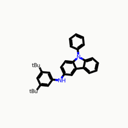 CC(C)(C)c1cc(Nc2ccc3c(c2)c2ccccc2n3-c2ccccc2)cc(C(C)(C)C)c1